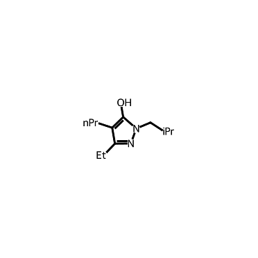 CCCc1c(CC)nn(CC(C)C)c1O